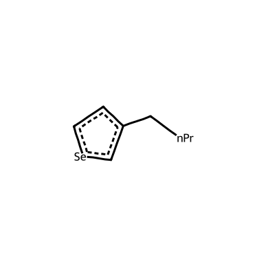 CCCCc1cc[se]c1